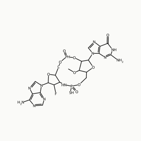 COC1C2COP(=O)(S)NC3C(CO[PH](=O)OC1C(n1cnc4c(=O)[nH]c(N)nc41)O2)OC(n1cnc2c(N)ncnc21)C3F